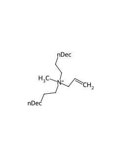 C=CC[N+](C)(CCCCCCCCCCCC)CCCCCCCCCCCC